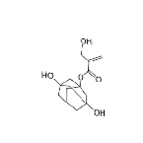 C=C(CO)C(=O)OC12CC3CC(O)(CC(O)(C3)C1)C2